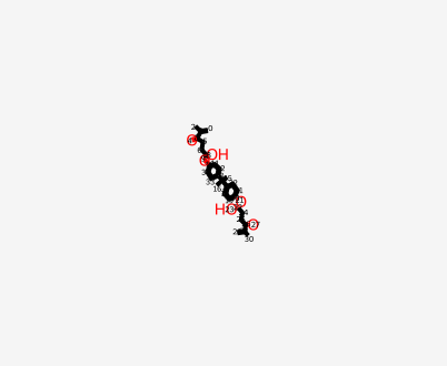 C=C(C)C(=O)CCC(O)Oc1ccc(C(C)(C)c2ccc(OC(O)CCC(=O)C(=C)C)cc2)cc1